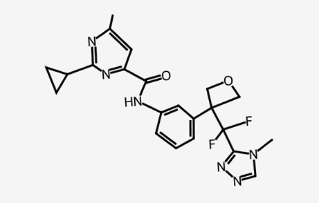 Cc1cc(C(=O)Nc2cccc(C3(C(F)(F)c4nncn4C)COC3)c2)nc(C2CC2)n1